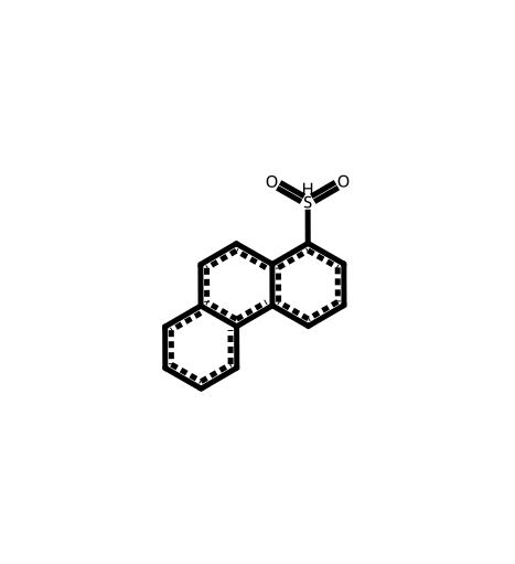 O=[SH](=O)c1cccc2c1ccc1ccccc12